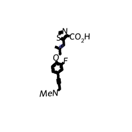 CNCC#Cc1ccc(OC/C(C)=C/c2scnc2C(=O)O)c(F)c1